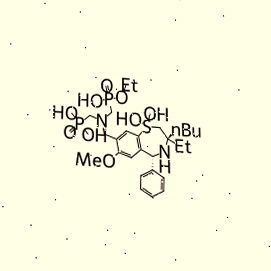 CCCC[C@]1(CC)CS(O)(O)c2cc(CN(CP(=O)(O)O)CP(=O)(O)OCC)c(OC)cc2[C@@H](c2ccccc2)N1